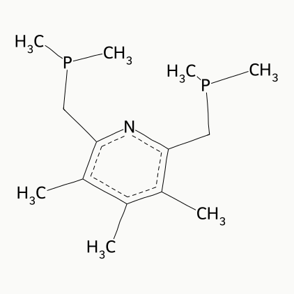 Cc1c(CP(C)C)nc(CP(C)C)c(C)c1C